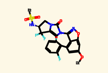 CCOc1cc(-c2c(F)cccc2F)c2c(-n3cc4n(c3=O)C[C@@H](NS(=O)(=O)CC)C4(F)F)noc2c1